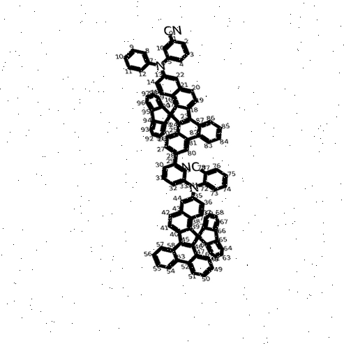 N#Cc1cccc(N(c2ccccc2)c2ccc3c4c(ccc3c2)-c2c(c3ccc(-c5cccc(N(c6ccc7c8c(ccc7c6)-c6c(c7ccccc7c7ccccc67)C86c7ccccc7-c7ccccc76)c6ccccc6C#N)c5)cc3c3ccccc23)C42c3ccccc3-c3ccccc32)c1